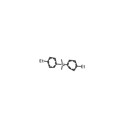 CCc1ccc([Si](C)(C)c2ccc(CC)cc2)cc1